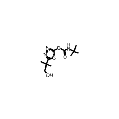 CC(C)(C)NC(=O)Oc1nnc(C(C)(C)CO)s1